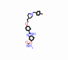 Cc1ccc(CN2CCC(CCOc3ccc(-c4nc5cc(OC(N)=O)ccc5[nH]4)cc3)CC2)cc1